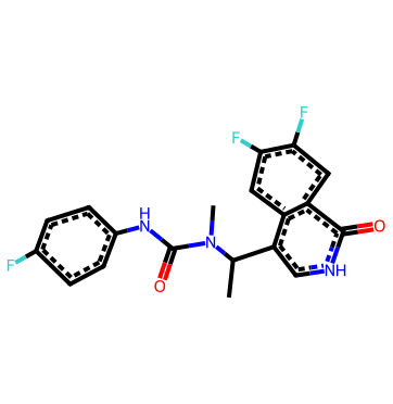 CC(c1c[nH]c(=O)c2cc(F)c(F)cc12)N(C)C(=O)Nc1ccc(F)cc1